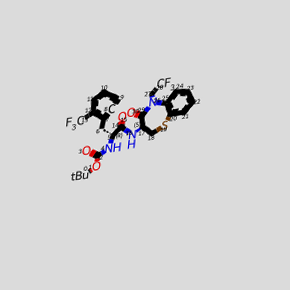 CC(C)(C)OC(=O)N[C@H](Cc1ccccc1C(F)(F)F)C(=O)N[C@@H]1CSc2ccccc2N(CC(F)(F)F)C1=O